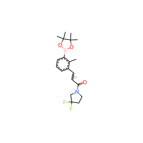 Cc1c(/C=C/C(=O)N2CCC(F)(F)C2)cccc1B1OC(C)(C)C(C)(C)O1